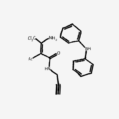 B(c1ccccc1)c1ccccc1.C#CCNC(=O)/C(C(C)=O)=C(\N)C(Cl)(Cl)Cl